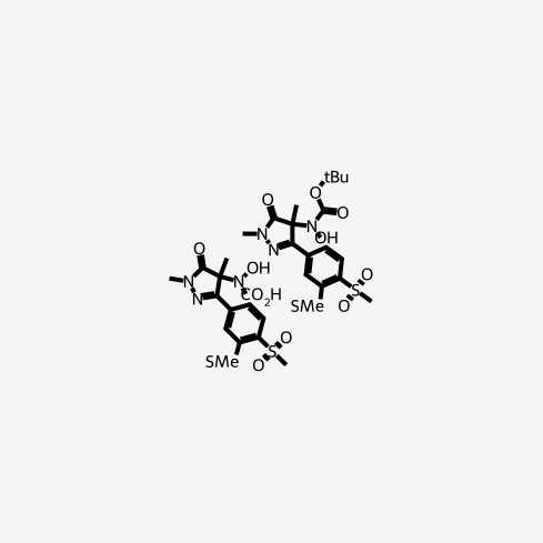 CSc1cc(C2=NN(C)C(=O)C2(C)N(O)C(=O)O)ccc1S(C)(=O)=O.CSc1cc(C2=NN(C)C(=O)C2(C)N(O)C(=O)OC(C)(C)C)ccc1S(C)(=O)=O